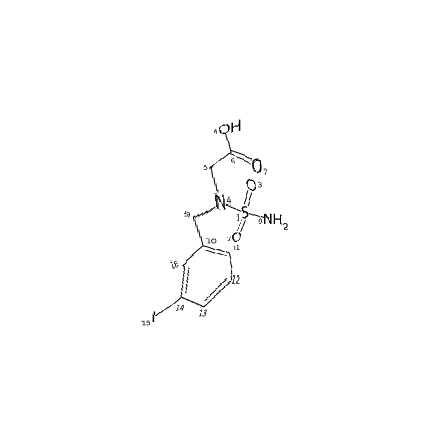 NS(=O)(=O)N(CC(=O)O)Cc1cccc(I)c1